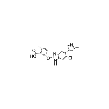 Cc1ccc(Oc2nc3cc(-c4cnn(C)c4)c(Cl)cc3[nH]2)cc1C(=O)O